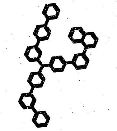 c1ccc(-c2ccc(-c3cccc(N(c4ccc(-c5cccc(-c6ccccc6)c5)cc4)c4ccc(-c5cccc(-c6cccc7ccccc67)c5)cc4)c3)cc2)cc1